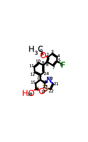 COc1ccc(F)cc1-c1cccc(C(CC(=O)O)c2nccs2)c1